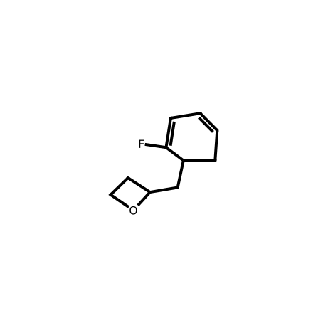 FC1=CC=CCC1CC1CCO1